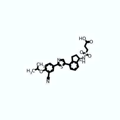 CC(C)Oc1ccc(-c2ncc(-c3cccc4c3CC[C@H]4NS(=O)(=O)CCC(=O)O)s2)cc1C#N